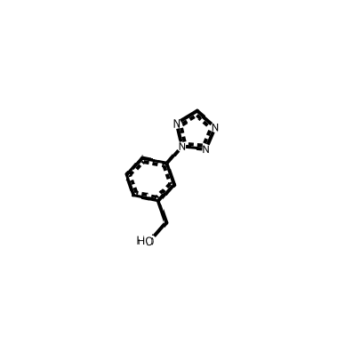 OCc1cc[c]c(-n2ncnn2)c1